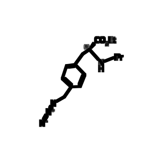 CCOC(=O)[C@H](Cc1ccc(CN=[N+]=[N-])cc1)NC(C)C